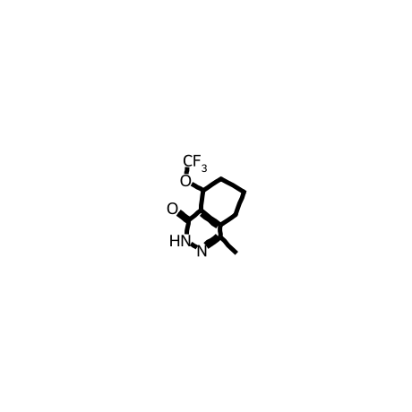 Cc1n[nH]c(=O)c2c1CCCC2OC(F)(F)F